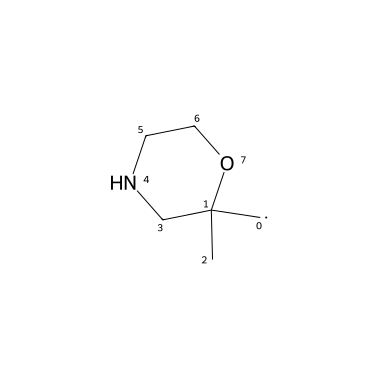 [CH2]C1(C)CNCCO1